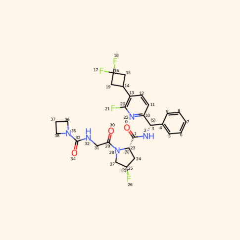 O=C(N[C@@H](c1ccccc1)c1ccc(C2CC(F)(F)C2)c(F)n1)[C@@H]1C[C@@H](F)CN1C(=O)CNC(=O)N1CCC1